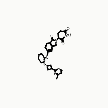 Cc1ccnc(C2CN([C@H]3CCCC[C@@H]3Oc3ccc4c(c3)CN(C3CCC(=O)NC3=O)C4=O)C2)n1